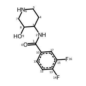 O=C(NC1CCNCC1O)c1ccc(F)c(F)c1